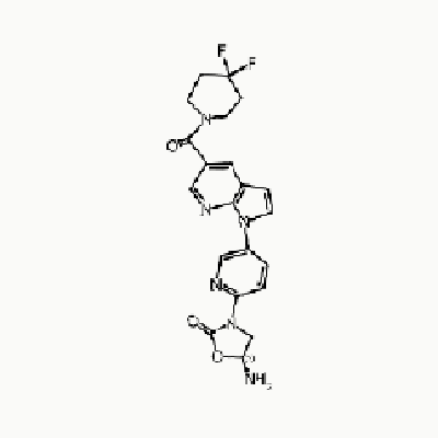 N[C@@H]1CN(c2ccc(-n3ccc4cc(C(=O)N5CCC(F)(F)CC5)cnc43)cn2)C(=O)O1